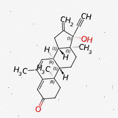 C#C[C@]1(O)C(=C)C[C@H]2[C@@H]3C=C(C)C4=CC(=O)CC[C@]4(C)[C@H]3CC[C@@]21C